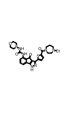 CCN1CCCN(C(=O)c2ccc(-c3n[nH]c4c3C(=O)c3c(NC(=O)NN5CCOCC5)cccc3-4)s2)CC1